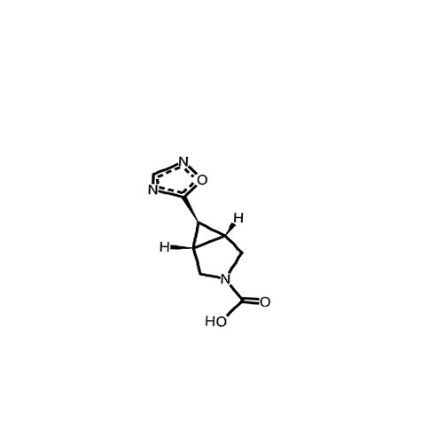 O=C(O)N1C[C@@H]2[C@H](C1)[C@H]2c1ncno1